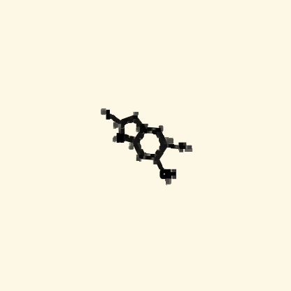 Oc1cc2nc(I)cn2cc1F